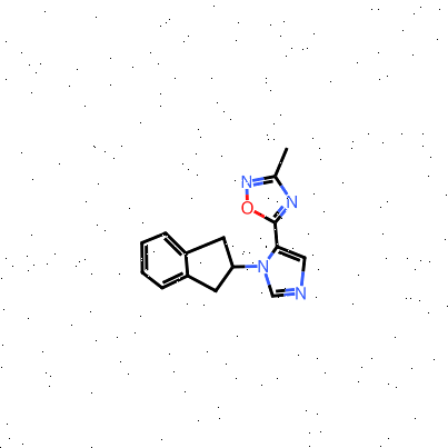 Cc1noc(-c2cncn2C2Cc3ccccc3C2)n1